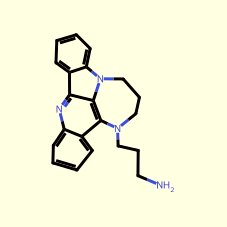 NCCCN1CCCn2c3ccccc3c3nc4ccccc4c1c32